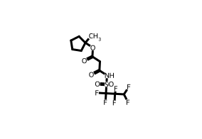 CC1(OC(=O)CC(=O)NS(=O)(=O)C(F)(F)C(F)(F)C(F)F)CCCC1